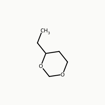 CCC1CCOCO1